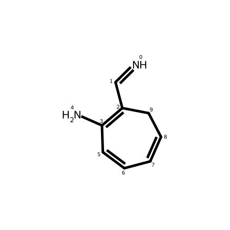 N=CC1=C(N)C=CC=CC1